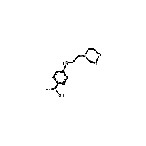 OB(O)c1ccc(NCCN2CCOCC2)nc1